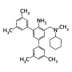 Cc1cc(C)cc(-c2cc(CN(C)C3CCCCC3)c(N)c(-c3cc(C)cc(C)c3)c2)c1